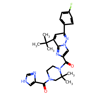 CC(C)(C)c1cc(-c2ccc(F)cc2)nn2cc(C(=O)N3CCN(C(=O)c4c[nH]cn4)CC3(C)C)nc12